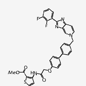 COC(=O)c1sccc1NC(=O)COc1ccc(-c2ccc(Cn3ccc4nc(-c5cccc(F)c5F)nc-4c3)cc2)cc1